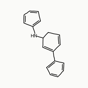 C1=CC(c2ccccc2)=CC(Nc2ccccc2)C1